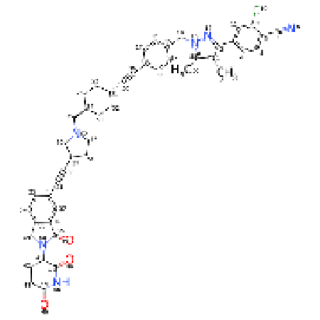 Cc1c(-c2ccc(C#N)c(Cl)c2)nn(Cc2ccc(C#C[C@H]3CC[C@H](CN4CCC(C#Cc5ccc6c(c5)C(=O)N(C5CCC(=O)NC5=O)C6)C4)CC3)cc2)c1C